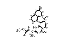 CC[C@H](C)[C@H](NC(=O)OC(C)(C)C)C(=O)Nc1cc(N(C)c2cc(=O)oc3ccccc23)ccc1OC